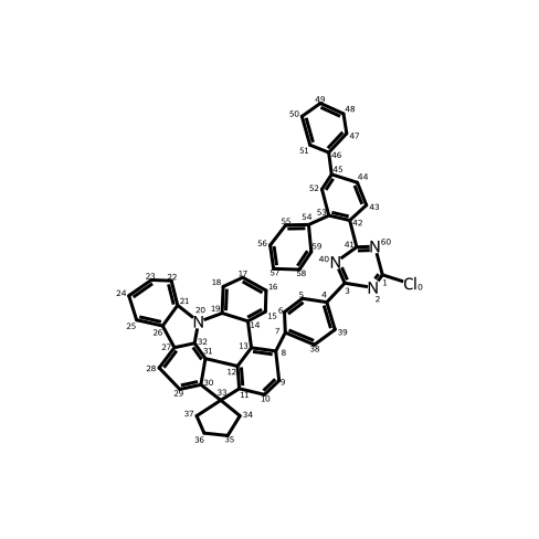 Clc1nc(-c2ccc(-c3ccc4c5c3-c3ccccc3-n3c6ccccc6c6ccc(c-5c63)C43CCCC3)cc2)nc(-c2ccc(-c3ccccc3)cc2-c2ccccc2)n1